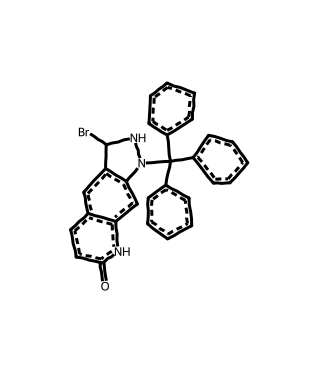 O=c1ccc2cc3c(cc2[nH]1)N(C(c1ccccc1)(c1ccccc1)c1ccccc1)NC3Br